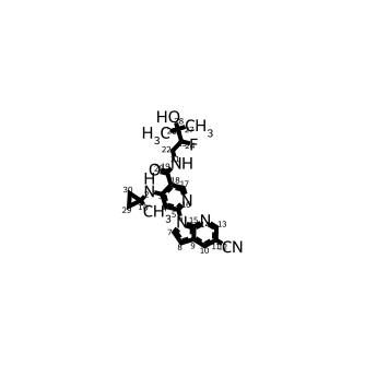 CC1(Nc2cc(-n3ccc4cc(C#N)cnc43)ncc2C(=O)NCC(F)C(C)(C)O)CC1